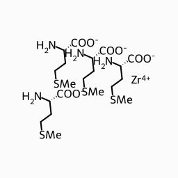 CSCC[C@H](N)C(=O)[O-].CSCC[C@H](N)C(=O)[O-].CSCC[C@H](N)C(=O)[O-].CSCC[C@H](N)C(=O)[O-].[Zr+4]